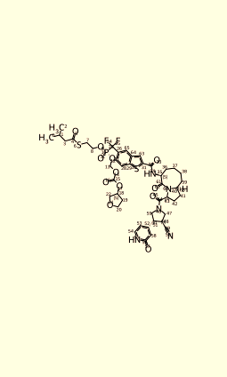 CC(C)CC(=O)SCCOP(=O)(OCOC(=O)O[C@H]1CCOC1)C(F)(F)c1ccc2sc(C(=O)N[C@H]3CCCC[C@H]4CC[C@@H](C(=O)N5C[C@@H](C#N)[C@H](c6cc[nH]c(=O)c6)C5)N4C3=O)cc2c1